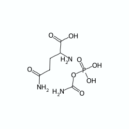 NC(=O)CCC(N)C(=O)O.NC(=O)OP(=O)(O)O